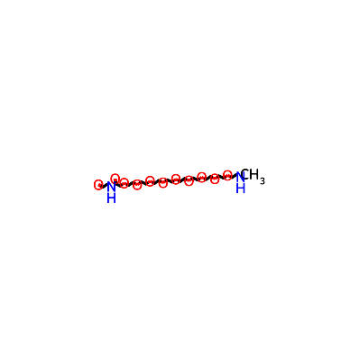 CNCCOCCOCCOCCOCCOCCOCCOCCOCCOCC(=O)NCC=O